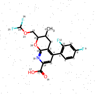 CC1Cc2c(-c3ccc(F)cc3F)cc(C(=O)O)nc2OC1COC(F)F